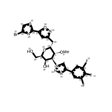 CO[C@@H]1[C@@H](n2cc(-c3cc(F)c(F)c(F)c3)nn2)[C@@H](O)[C@@H](CO)O[C@@H]1Cc1cc(-c2nc(Br)cs2)on1